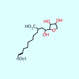 CCCCCCCC/C=C/CCCCCCC(CC(O)C1OCC(O)C1O)C(=O)O